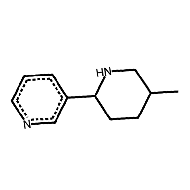 CC1CCC(c2cccnc2)NC1